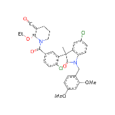 CCO[C@@H]1C(=C=O)CCCN1C(=O)c1ccc(Cl)c(C2(C)C(=O)N(Cc3ccc(OC)cc3OC)c3ccc(Cl)cc32)c1